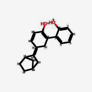 OC1=C(c2ccccc2O)CC(=C2CC3CCC2C3)C=C1